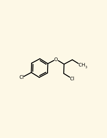 CCC(CCl)Oc1ccc(Cl)cc1